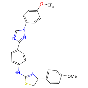 COc1ccc(C2CSC(Nc3ccc(-c4ncn(-c5ccc(OC(F)(F)F)cc5)n4)cc3)=N2)cc1